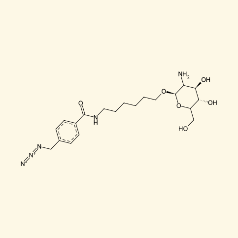 [N-]=[N+]=NCc1ccc(C(=O)NCCCCCCO[C@@H]2OC(CO)[C@@H](O)[C@H](O)C2N)cc1